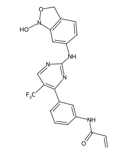 C=CC(=O)Nc1cccc(-c2nc(Nc3ccc4c(c3)N(O)OC4)ncc2C(F)(F)F)c1